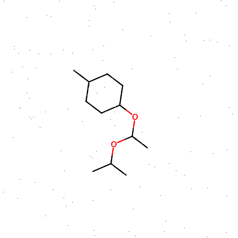 CC1CCC(OC(C)OC(C)C)CC1